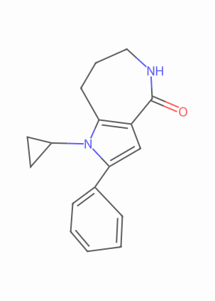 O=C1NCCCc2c1cc(-c1ccccc1)n2C1CC1